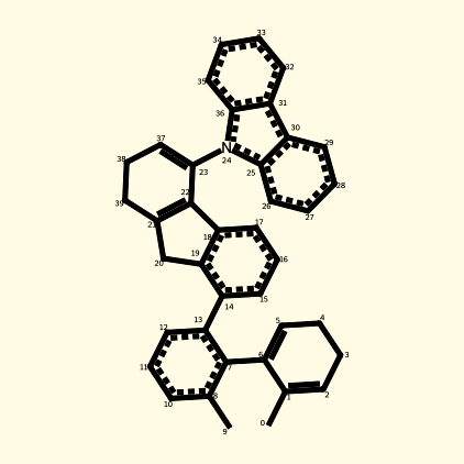 CC1=CCCC=C1c1c(C)cccc1-c1cccc2c1CC1=C2C(n2c3ccccc3c3ccccc32)=CCC1